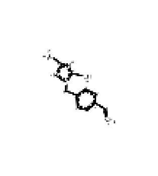 C=Cc1ccc(Cn2nc(C)nc2C)cc1